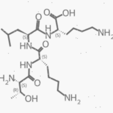 CC(C)C[C@H](NC(=O)[C@H](CCCCN)NC(=O)[C@@H](N)[C@@H](C)O)C(=O)N[C@@H](CCCCN)C(=O)O